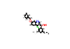 Cc1cc(C)cc(C(O)c2cnc3cc(OCc4ccccc4)ccc3c2Cl)c1